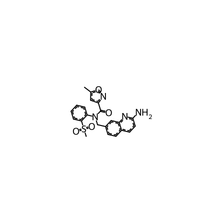 Cc1cc(C(=O)N(Cc2ccc3ccc(N)nc3c2)c2ccccc2S(C)(=O)=O)no1